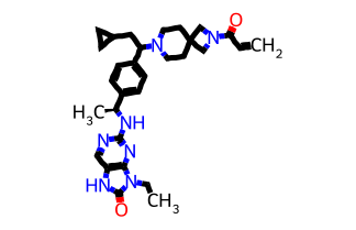 C=CC(=O)N1CC2(CCN(C(CC3CC3)c3ccc([C@H](C)Nc4ncc5[nH]c(=O)n(CC)c5n4)cc3)CC2)C1